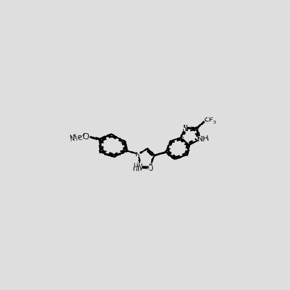 COc1ccc(N2C=C(c3ccc4[nH]c(C(F)(F)F)nc4c3)ON2)cc1